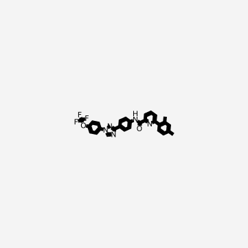 Cc1ccc(-c2cccc(C(=O)Nc3ccc(-c4ncn(-c5ccc(OC(F)(F)F)cc5)n4)cc3)n2)c(C)c1